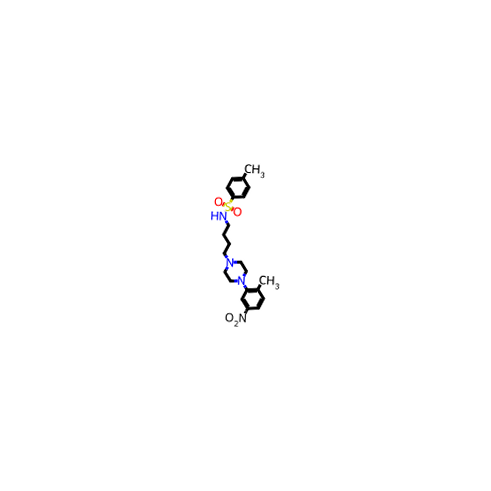 Cc1ccc(S(=O)(=O)NCCCCN2CCN(c3cc([N+](=O)[O-])ccc3C)CC2)cc1